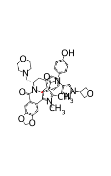 Cc1c(C(=O)N(c2ccc(O)cc2)c2cnn(C3COC3)c2)cc(-c2cc3c(cc2C(=O)N2Cc4ccccc4C[C@H]2CN2CCOCC2)OCO3)n1C